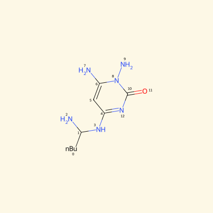 CCCCC(N)Nc1cc(N)n(N)c(=O)n1